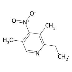 [CH2]Cc1ncc(C)c([N+](=O)[O-])c1C